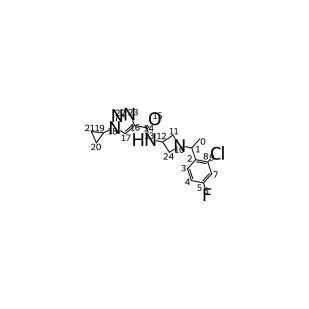 CC(c1ccc(F)cc1Cl)N1CC(NC(=O)c2cn(C3CC3)nn2)C1